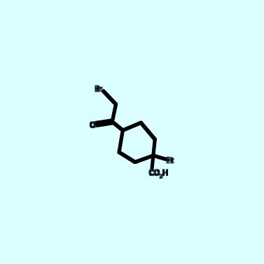 CCC1(C(=O)O)CCC(C(=O)CBr)CC1